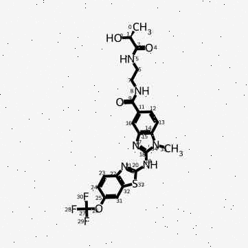 C[C@H](O)C(=O)NCCNC(=O)c1ccc2c(c1)nc(Nc1nc3ccc(OC(F)(F)F)cc3s1)n2C